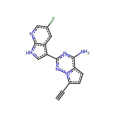 C#Cc1ccc2c(N)nc(-c3c[nH]c4ncc(F)cc34)nn12